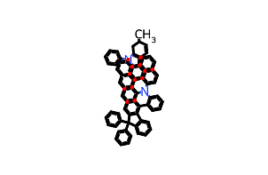 CC1C=Cc2c(n(-c3ccccc3)c3cc(-c4ccccc4N(c4ccccc4-c4cccc5c4-c4ccccc4C5(c4ccccc4)c4ccccc4)c4ccccc4-c4cccc5cccc(-c6ccccc6)c45)ccc23)C1